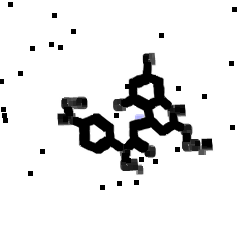 CN(C(=O)/C=C1\CC(OC(=O)O)Nc2cc(Cl)cc(Cl)c21)c1ccc(NC=O)cc1